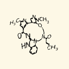 C/C=C/C(=O)N1CCOc2c(cnn2C)-c2cc(cc(C)n2)C(=O)/N=C2\Nc3ccccc3N2CC1